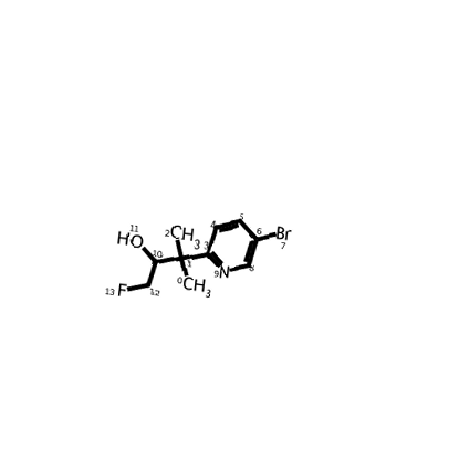 CC(C)(c1ccc(Br)cn1)C(O)CF